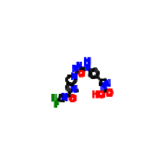 Cn1c(C(=O)N2CC(F)(F)C2)cc2c1CN(c1nnc(Nc3ccc(-c4cnn(C(=O)O)c4)cc3)o1)CC2